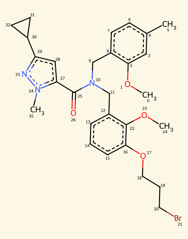 COc1cc(C)ccc1CN(Cc1cccc(OCCCBr)c1OC)C(=O)c1cc(C2CC2)nn1C